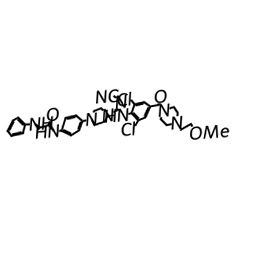 COCCN1CCN(C(=O)c2cc(Cl)c(N/C(=N/C#N)N3CCN(c4ccc(NC(=O)CNc5ccccc5)cc4)CC3)c(Cl)c2)CC1